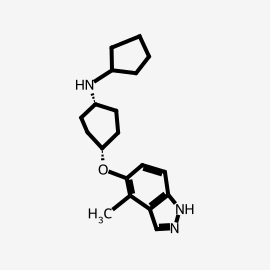 Cc1c(O[C@H]2CC[C@@H](NC3CCCC3)CC2)ccc2[nH]ncc12